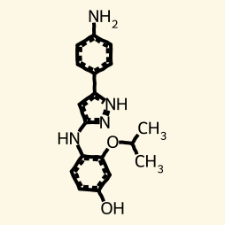 CC(C)Oc1cc(O)ccc1Nc1cc(-c2ccc(N)cc2)[nH]n1